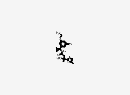 Cc1csc(C(C)(O)CC(=O)NC2(c3cc(Cl)cc(OCC(F)(F)F)c3)CC2)n1